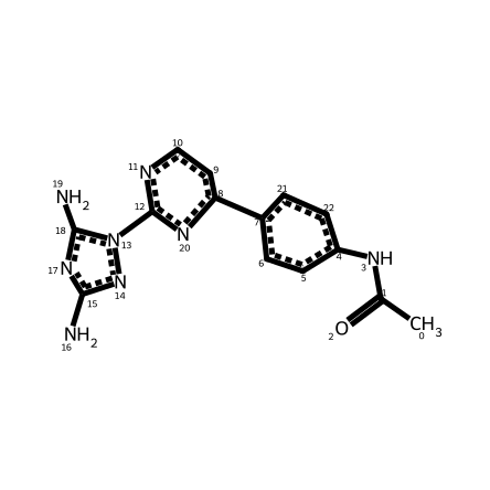 CC(=O)Nc1ccc(-c2ccnc(-n3nc(N)nc3N)n2)cc1